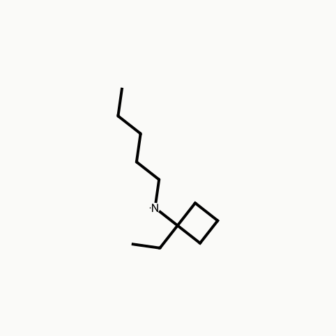 CCCCC[N]C1(CC)CCC1